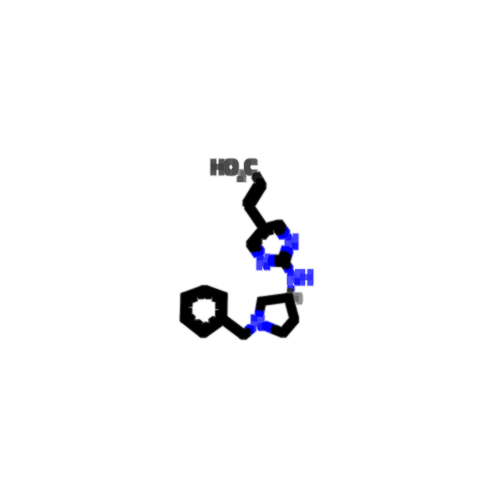 O=C(O)C=Cc1cnc(N[C@@H]2CCN(Cc3ccccc3)C2)nc1